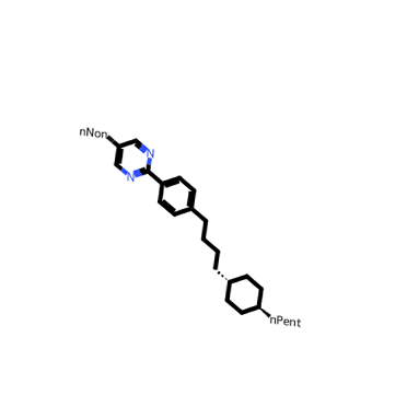 CCCCCCCCCc1cnc(-c2ccc(CCCC[C@H]3CC[C@H](CCCCC)CC3)cc2)nc1